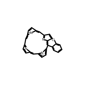 Clc1ccccc1-c1c2nc(cc3ccc(cc4nc(cc5ccc1[nH]5)C=C4)[nH]3)C=C2